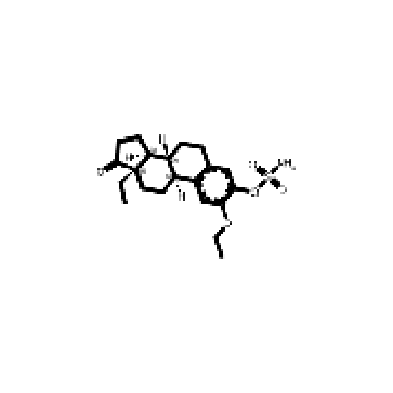 CCOc1cc2c(cc1OS(N)(=O)=O)CC[C@@H]1[C@@H]2CC[C@]2(CC)C(=O)CC[C@@H]12